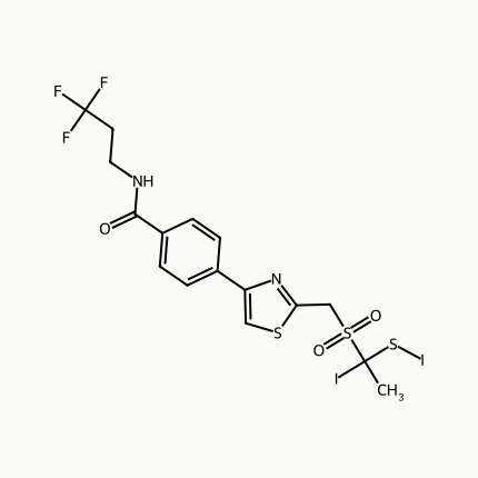 CC(I)(SI)S(=O)(=O)Cc1nc(-c2ccc(C(=O)NCCC(F)(F)F)cc2)cs1